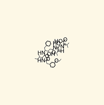 CCOc1cccc(CC(=O)NC(C(=O)NC(Cc2ccccc2)C(O)CC(=O)N[C@H](C(=O)N[C@H](C(=O)O)C(C)C)[C@@H](C)CC)C(C)CC)c1